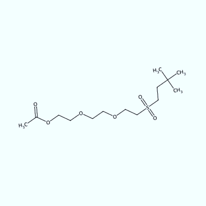 CC(=O)OCCOCCOCCS(=O)(=O)CCC(C)(C)C